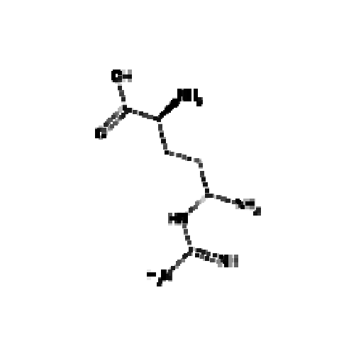 N=C(N)NC(N)CC[C@H](N)C(=O)O